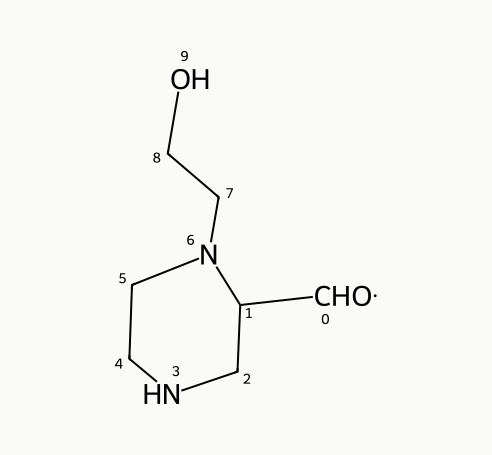 O=[C]C1CNCCN1CCO